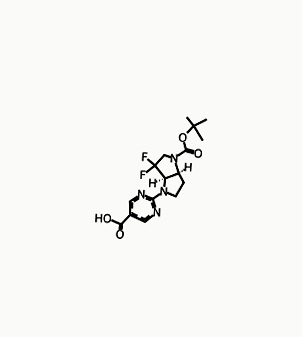 CC(C)(C)OC(=O)N1CC(F)(F)[C@H]2[C@@H]1CCN2c1ncc(C(=O)O)cn1